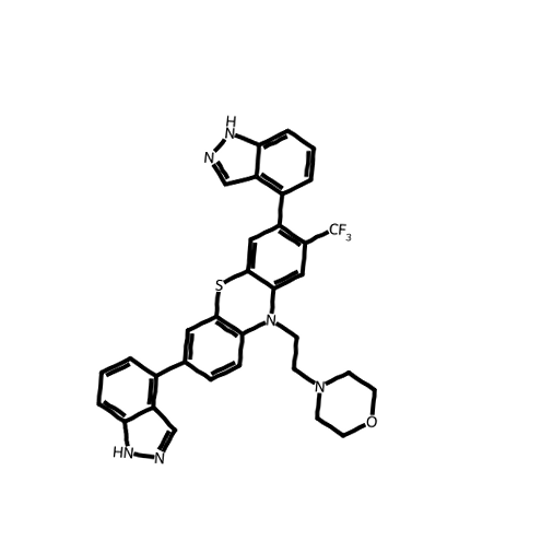 FC(F)(F)c1cc2c(cc1-c1cccc3[nH]ncc13)Sc1cc(-c3cccc4[nH]ncc34)ccc1N2CCN1CCOCC1